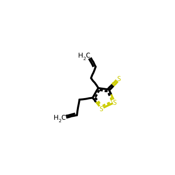 C=CCc1ssc(=S)c1CC=C